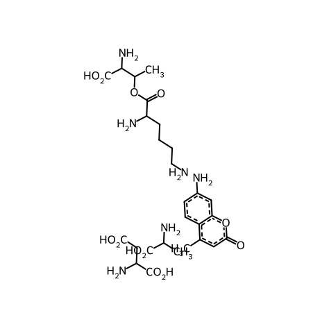 CC(N)C(=O)O.CC(OC(=O)C(N)CCCCN)C(N)C(=O)O.Cc1cc(=O)oc2cc(N)ccc12.NC(CC(=O)O)C(=O)O